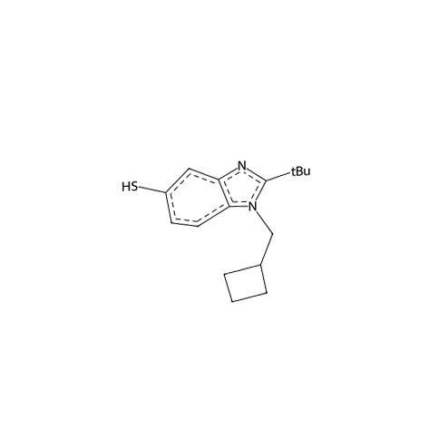 CC(C)(C)c1nc2cc(S)ccc2n1CC1CCC1